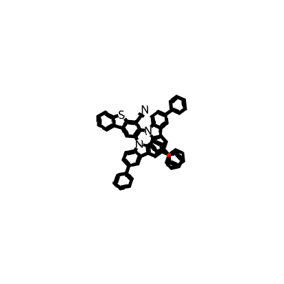 N#Cc1c(-n2c3ccc(-c4ccccc4)cc3c3cc(-c4ccccc4)ccc32)c(-n2c3ccc(C4=CCCC=C4)cc3c3cc(-c4ccccc4)ccc32)cc2c1sc1ccccc12